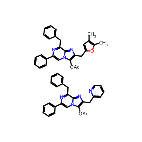 CC(=O)Oc1c(Cc2cc(C)c(C)o2)nc2c(Cc3ccccc3)nc(-c3ccccc3)cn12.CC(=O)Oc1c(Cc2ccccn2)nc2c(Cc3ccccc3)nc(-c3ccccc3)cn12